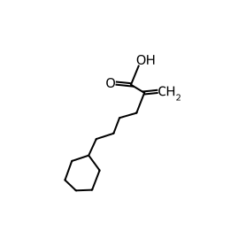 C=C(CCCCC1CCCCC1)C(=O)O